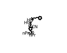 CCCN(CCC)C(=O)c1ccc(OCC(O)CNC(C)(C)CCCc2ccccc2)c(C#N)c1